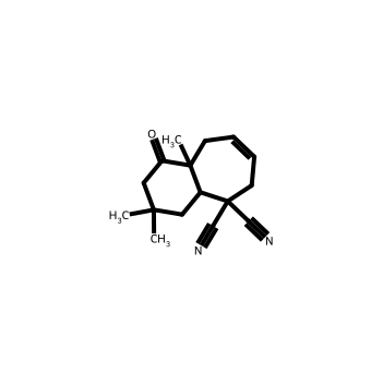 CC1(C)CC(=O)C2(C)CC=CCC(C#N)(C#N)C2C1